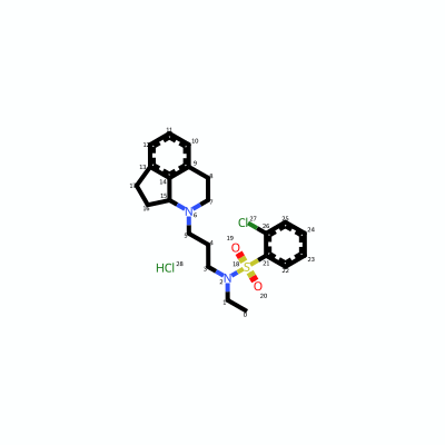 CCN(CCCN1CCc2cccc3c2C1CC3)S(=O)(=O)c1ccccc1Cl.Cl